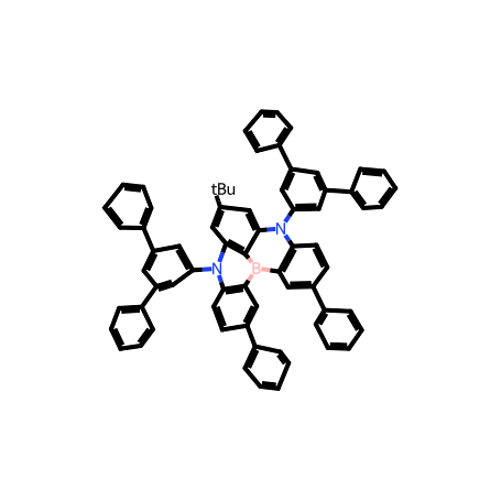 CC(C)(C)c1cc2c3c(c1)N(c1cc(-c4ccccc4)cc(-c4ccccc4)c1)c1ccc(-c4ccccc4)cc1B3c1cc(-c3ccccc3)ccc1N2c1cc(-c2ccccc2)cc(-c2ccccc2)c1